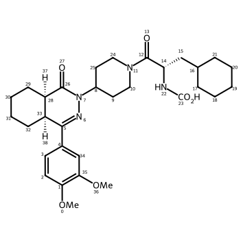 COc1ccc(C2=NN(C3CCN(C(=O)[C@H](CC4CCCCC4)NC(=O)O)CC3)C(=O)[C@@H]3CCCC[C@H]23)cc1OC